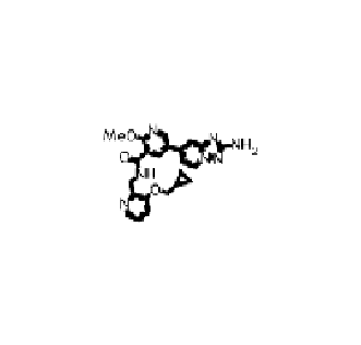 COc1ncc(-c2ccn3nc(N)nc3c2)cc1C(=O)NCc1ncccc1OCC1CC1